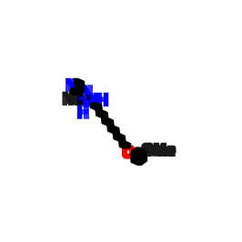 COc1cccc(OCCCCCCCCCCCCN/C(=N/c2ccncc2)NC#N)c1